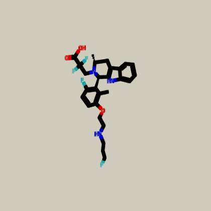 Cc1c(OCCNCCCF)ccc(F)c1[C@@H]1c2[nH]c3ccccc3c2C[C@@H](C)N1CC(F)(F)C(=O)O